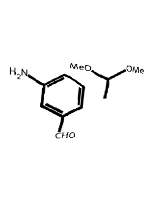 COC(C)OC.Nc1cccc(C=O)c1